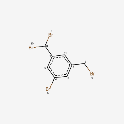 BrCc1cc(Br)cc(C(Br)Br)c1